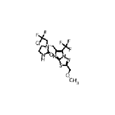 COCc1nn2c(C(F)(F)F)c(C[N+]3(CC(F)(F)Cl)CCNC3=O)nc2s1